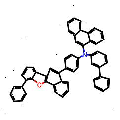 c1ccc(-c2cccc(N(c3ccc(-c4cc5c6cccc(-c7ccccc7)c6oc5c5ccccc45)cc3)c3cc4ccccc4c4ccccc34)c2)cc1